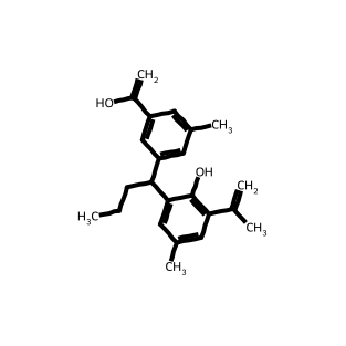 C=C(O)c1cc(C)cc(C(CCC)c2cc(C)cc(C(=C)C)c2O)c1